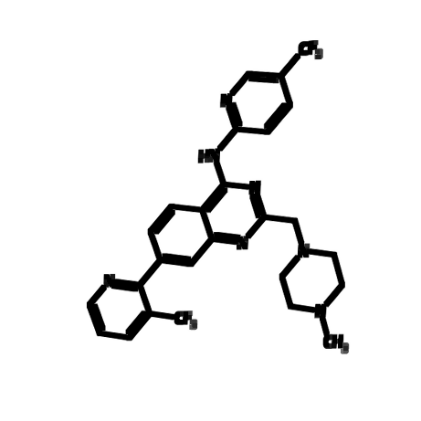 CN1CCN(Cc2nc(Nc3ccc(C(F)(F)F)cn3)c3ccc(-c4ncccc4C(F)(F)F)cc3n2)CC1